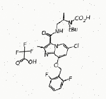 Cc1nc2c(OCc3c(F)cccc3F)cc(Cl)cn2c1C(=O)NCC(C)N(C(=O)O)C(C)(C)C.O=C(O)C(F)(F)F